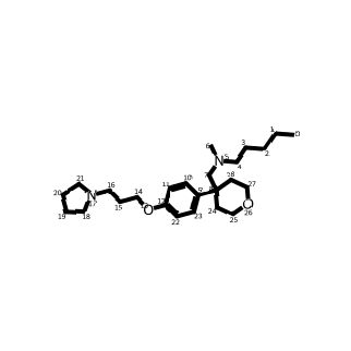 CCCCCN(C)CC1(c2ccc(OCCCN3CCCC3)cc2)CCOCC1